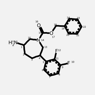 NC1CCC(c2cccc(F)c2F)CN(C(=O)OCc2ccccc2)C1